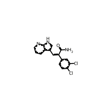 NC(=O)C(=Cc1c[nH]c2ncccc12)c1ccc(Cl)c(Cl)c1